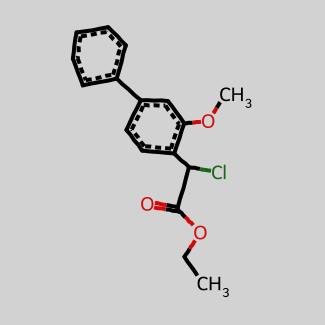 CCOC(=O)C(Cl)c1ccc(-c2ccccc2)cc1OC